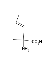 CC=CC(C)(N)C(=O)O